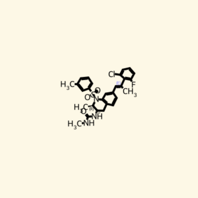 CNC(=O)N[C@@H]1Cc2ccc(/C=C(\C)c3c(F)cccc3Cl)cc2N(S(=O)(=O)c2cccc(C)c2)[C@@H]1C